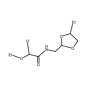 CCOC(Cl)C(=O)NCC1OCC(CC)O1